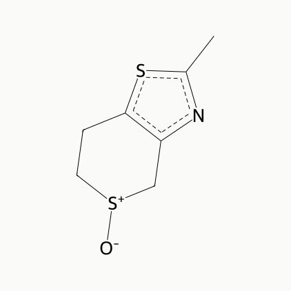 Cc1nc2c(s1)CC[S+]([O-])C2